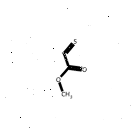 COC(=O)[C]=S